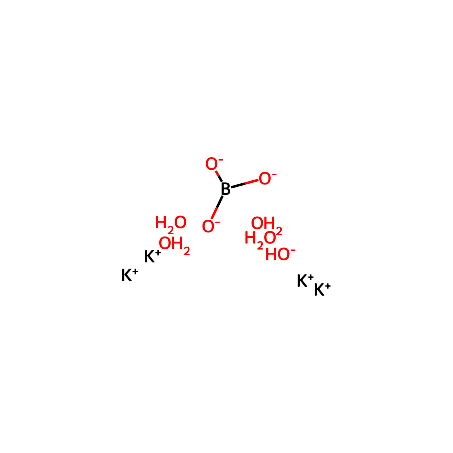 O.O.O.O.[K+].[K+].[K+].[K+].[O-]B([O-])[O-].[OH-]